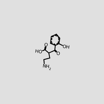 NCCC(C(=O)O)C(=O)c1ccccc1O